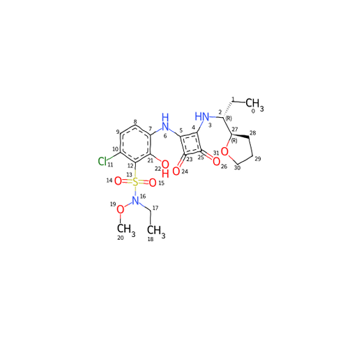 CC[C@@H](Nc1c(Nc2ccc(Cl)c(S(=O)(=O)N(CC)OC)c2O)c(=O)c1=O)[C@H]1CCCO1